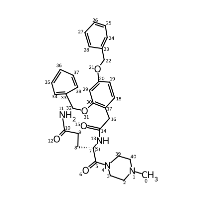 CN1CCN(C(=O)[C@H](CCC(N)=O)NC(=O)Cc2ccc(OCc3ccccc3)cc2OCc2ccccc2)CC1